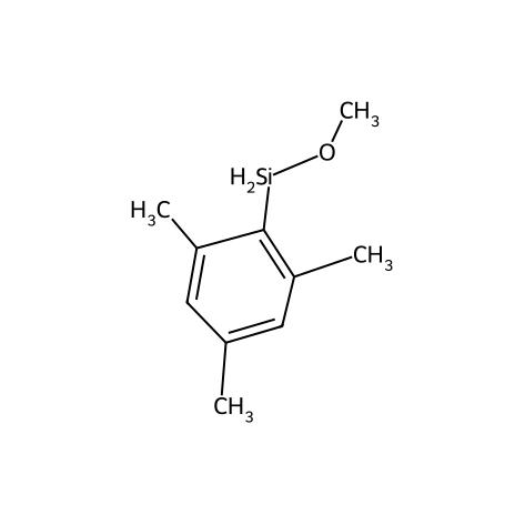 CO[SiH2]c1c(C)cc(C)cc1C